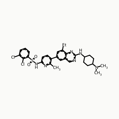 CCc1cc(-c2ccc(NS(=O)(=O)c3cccc(Cl)c3Cl)nc2C)cc2cnc(NC3CCC(N(C)C)CC3)nc12